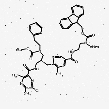 CCCCCCN(CCNC(=O)c1ccc(C[C@@H](CNC(=O)c2nc(Cl)c(N)nc2N)CN(CCc2ccccc2)C(=O)OC(C)(C)C)c(C)c1)C(=O)OCC1c2ccccc2-c2ccccc21